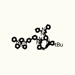 CC(C)(C)c1ccc2c(c1)c1cc3ccc1n2-c1ccc(-c2cc(-c4ccccc4)nc(-c4ccccc4)n2)cc1-c1nc(-c2cccc(-c4ccc(N5c6ccccc6B6c7ccccc7N(c7ccccc7)c7cccc5c76)cc4)c2)nc(n1)-c1ccccc1C3(C)C